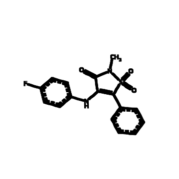 CN1C(=O)C(Nc2ccc(F)cc2)=C(c2ccccc2)S1(=O)=O